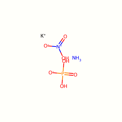 N.O=P([O-])(O)O.O=[N+]([O-])O.[K+]